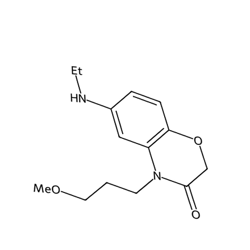 CCNc1ccc2c(c1)N(CCCOC)C(=O)CO2